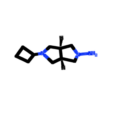 NN1C[C@@H]2CN(C3CCC3)C[C@@H]2C1